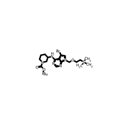 CC(C)(C)OC(=O)N1CCCC(Nc2ncnc3c2c(Br)cn3COCC[Si](C)(C)C)C1